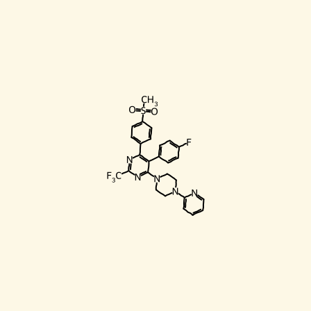 CS(=O)(=O)c1ccc(-c2nc(C(F)(F)F)nc(N3CCN(c4ccccn4)CC3)c2-c2ccc(F)cc2)cc1